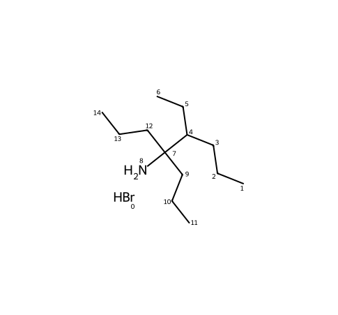 Br.CCCC(CC)C(N)(CCC)CCC